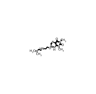 CN(C)CCNCCON1C=Nc2c(n(C)c(=O)n(C)c2=O)N1